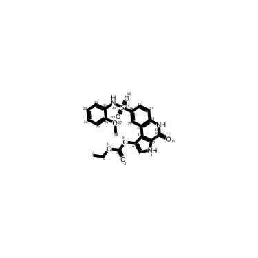 CCOC(=O)Oc1c[nH]c2c(=O)[nH]c3ccc(S(=O)(=O)Nc4ccccc4OC)cc3c12